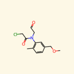 COCc1ccc(C)c(N(CC=O)C(=O)CCl)c1